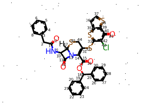 O=C(Cc1ccccc1)NC1C(=O)N2C(C(=O)OC(c3ccccc3)c3ccccc3)=C(Sc3sc4ccsc4c(=O)c3Cl)CS[C@@H]12